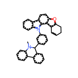 CN1c2ccccc2-c2ccccc2C1c1cccc(-n2c3ccccc3c3ccc4oc5c(c4c32)C=CCC5)c1